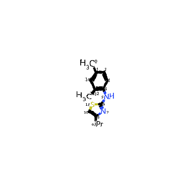 Cc1ccc(Nc2nc(C(C)C)cs2)c(C)c1